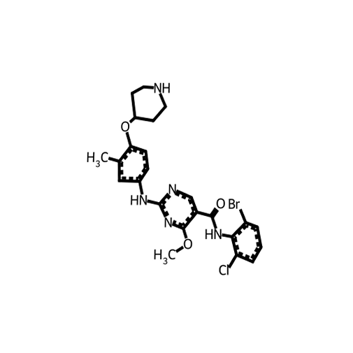 COc1nc(Nc2ccc(OC3CCNCC3)c(C)c2)ncc1C(=O)Nc1c(Cl)cccc1Br